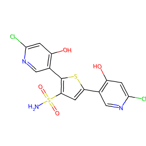 NS(=O)(=O)c1cc(-c2cnc(Cl)cc2O)sc1-c1cnc(Cl)cc1O